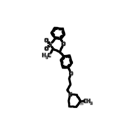 CC1C(c2ccc(OCCCN3CCC[C@H](C)C3)cc2)Oc2ccccc2S1(=O)=O